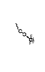 CCCCC[C@H]1CC[C@H]([C@H]2CC[C@H](C#Cc3cc(F)c(F)nc3F)CC2)CC1